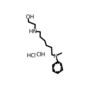 CN(CCCCCCNCCO)c1ccccc1.Cl.Cl